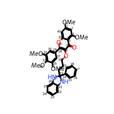 COc1cc(OC)c2c(=O)c(OCCCC3(c4ccccc4)Nc4ccccc4N3)c(-c3cc(OC)c(OC)c(OC)c3)oc2c1